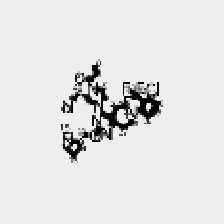 C=CC(=O)N1CCN(c2nc(OC[C@@H]3CCCN3C)nc3c2CCN(c2cccc(Cl)c2C(F)(F)F)CC3)C[C@@H]1CC#N